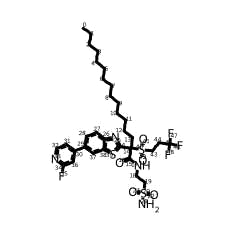 CCCCCCCCCCCCCCC(C(=O)NCCS(N)(=O)=O)(c1nc2ccc(-c3ccnc(F)c3)cc2s1)S(=O)(=O)CCC(F)(F)F